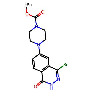 CC(C)(C)OC(=O)N1CCN(c2ccc3c(=O)[nH]nc(Br)c3c2)CC1